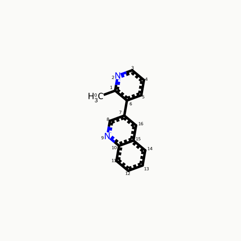 Cc1ncccc1-c1cnc2ccccc2c1